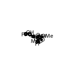 COCC1=C(C(=O)OC)C(c2ccc(F)c(F)c2)N(C(=O)N[C@@H]2CCN(C3CCC(O)(c4ccc(F)cc4)CC3)C2)C(=O)N1